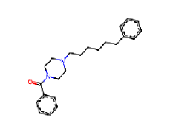 O=C(c1ccccc1)N1CCN(CCCCCCc2ccccc2)CC1